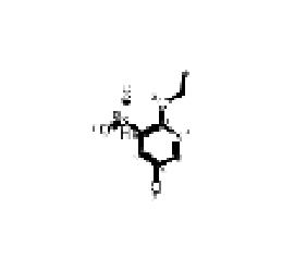 CCOc1ncc(Cl)cc1[SH](=O)=O